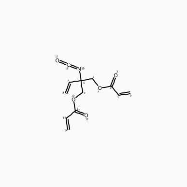 C=CC(=O)OCC(C=C)(COC(=O)C=C)N=C=O